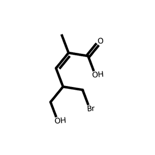 CC(=CC(CO)CBr)C(=O)O